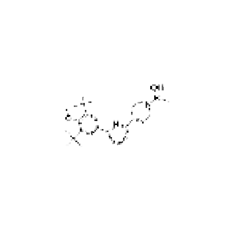 COc1c(C(C)(C)C)cc(-c2cccc(C3=CCN(B(C)O)CC3)n2)cc1C(C)(C)C